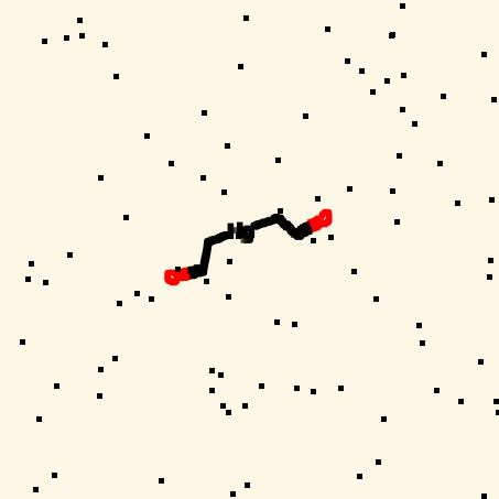 O=C[CH2][Hg][CH2]C=O